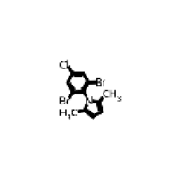 Cc1ccc(C)n1-c1c(Br)cc(Cl)cc1Br